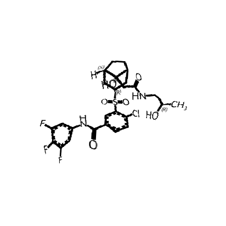 C[C@@H](O)CNC(=O)C[C@@]1(O)C2CC[C@H]1C[C@H](S(=O)(=O)c1cc(C(=O)Nc3cc(F)c(F)c(F)c3)ccc1Cl)C2